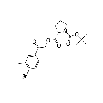 Cc1cc(C(=O)COC(=O)[C@@H]2CCCN2C(=O)OC(C)(C)C)ccc1Br